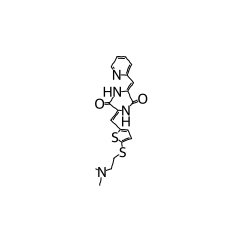 CN(C)CCSc1ccc(/C=c2\[nH]c(=O)/c(=C/c3ccccn3)[nH]c2=O)s1